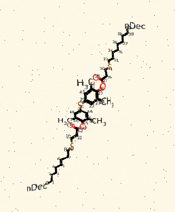 CCCCCCCCCCCCCCCCCCSCCC(=O)Oc1c(C)cc(Sc2cc(C)c(OC(=O)CCSCCCCCCCCCCCCCCCCCC)c(C)c2)cc1C